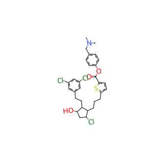 CN(C)Cc1ccc(OC(=O)c2ccc(CCCC3C(Cl)CC(O)C3CCc3cc(Cl)cc(Cl)c3)s2)cc1